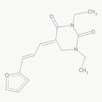 CCN1C/C(=C\C=C\c2ccco2)C(=O)N(CC)C1=O